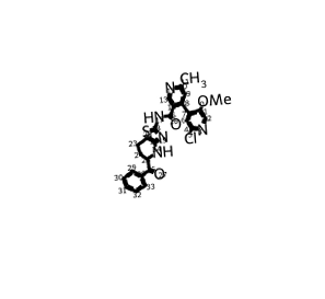 COc1cnc(Cl)cc1-c1cc(C)ncc1C(=O)Nc1nc2c(s1)CCC(C(=O)c1ccccc1)N2